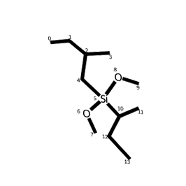 CCC(C)C[Si](OC)(OC)C(C)CC